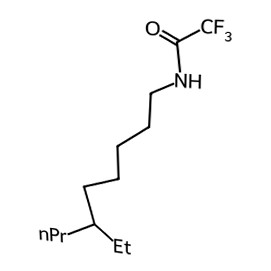 CCCC(CC)CCCCCNC(=O)C(F)(F)F